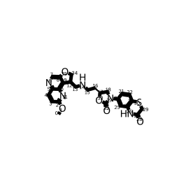 COc1ccc2ncc3c(c2n1)C(CNCC[C@H]1CN(c2ccc4c(c2)NC(=O)CS4)C(=O)O1)CO3